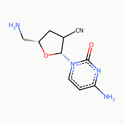 N#CC1C[C@@H](CN)O[C@H]1n1ccc(N)nc1=O